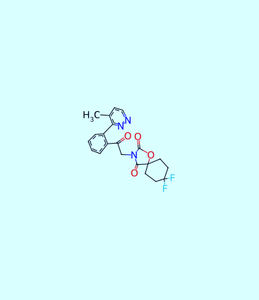 Cc1ccnnc1-c1ccccc1C(=O)CN1C(=O)OC2(CCC(F)(F)CC2)C1=O